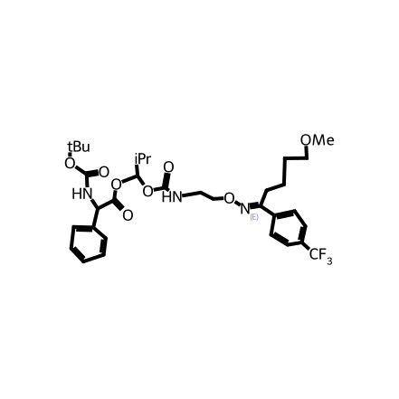 COCCCC/C(=N\OCCNC(=O)OC(OC(=O)C(NC(=O)OC(C)(C)C)c1ccccc1)C(C)C)c1ccc(C(F)(F)F)cc1